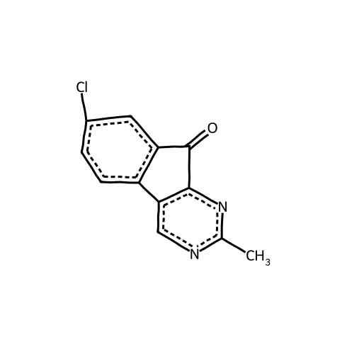 Cc1ncc2c(n1)C(=O)c1cc(Cl)ccc1-2